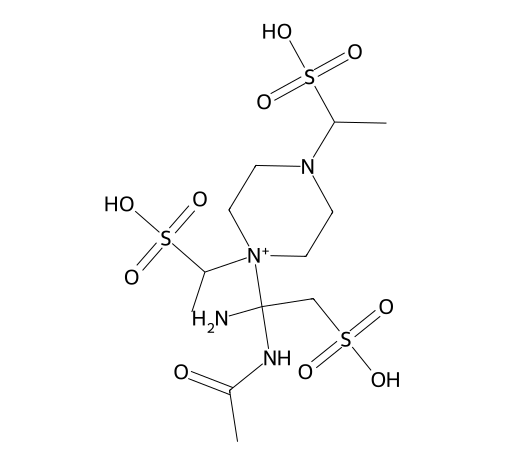 CC(=O)NC(N)(CS(=O)(=O)O)[N+]1(C(C)S(=O)(=O)O)CCN(C(C)S(=O)(=O)O)CC1